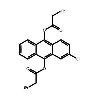 CC(C)CC(=O)Oc1c2ccccc2c(OC(=O)CC(C)C)c2cc(Cl)ccc12